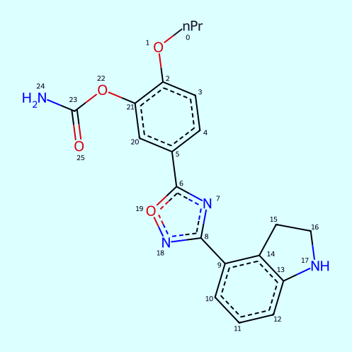 CCCOc1ccc(-c2nc(-c3cccc4c3CCN4)no2)cc1OC(N)=O